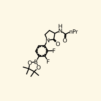 CCCC(=O)NC1CCN(c2ccc(B3OC(C)(C)C(C)(C)O3)c(F)c2F)C1=O